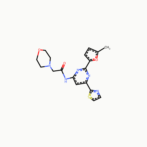 Cc1ccc(-c2nc(NC(=O)CN3CCOCC3)cc(-c3nccs3)n2)o1